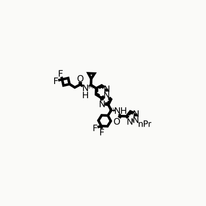 CCCn1ncc(C(=O)N[C@H](c2cn3ncc([C@H](NC(=O)CC4CC(F)(F)C4)C4CC4)cc3n2)C2CCC(F)(F)CC2)n1